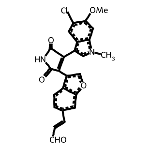 COc1cc2c(cc1Cl)c(C1=C(c3coc4cc(/C=C/C=O)ccc34)C(=O)NC1=O)cn2C